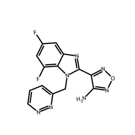 Nc1nonc1-c1nc2cc(F)cc(F)c2n1Cc1cccnn1